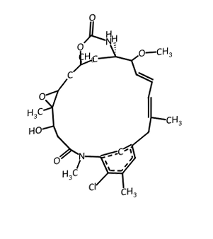 COC1/C=C/C=C(\C)Cc2cc(C)c(Cl)c(c2)N(C)C(=O)CC(O)C2(C)OC2CC2(C)C[C@H]1NC(=O)O2